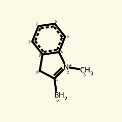 BC1=[N+](C)c2ccccc2C1